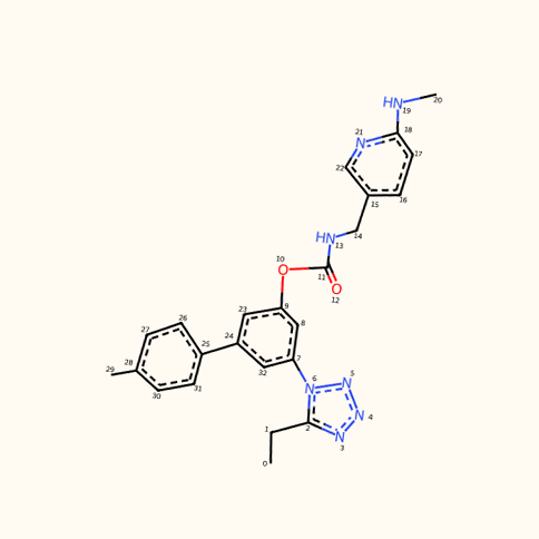 CCc1nnnn1-c1cc(OC(=O)NCc2ccc(NC)nc2)cc(-c2ccc(C)cc2)c1